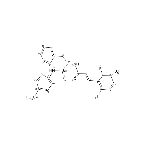 O=C(/C=C/c1c(F)ccc(Cl)c1F)N[C@@H](Cc1ccccc1)C(=O)Nc1ccc(C(=O)O)cc1